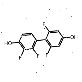 Oc1cc(F)c(-c2ccc(O)c(F)c2F)c(F)c1